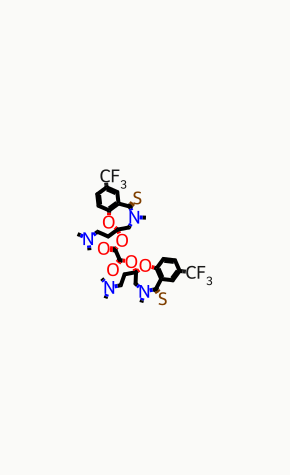 CN(C)CCC1(OC(=O)C(=O)OC2(CCN(C)C)CN(C)C(=S)c3cc(C(F)(F)F)ccc3O2)CN(C)C(=S)c2cc(C(F)(F)F)ccc2O1